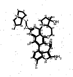 C[C@H]1CN2CCC[C@@]2(COc2nc3c4c(c(Cl)c(-c5ccc(F)c6sc(N)c(C#N)c56)c(F)c4n2)OCCC2N3CCC2(C)O)C1